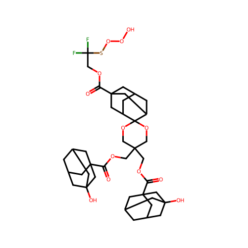 O=C(OCC(F)(F)SOOO)C12CC3CC(C1)C1(OCC(COC(=O)C45CC6CC(CC(O)(C6)C4)C5)(COC(=O)C45CC6CC(CC(O)(C6)C4)C5)CO1)C(C3)C2